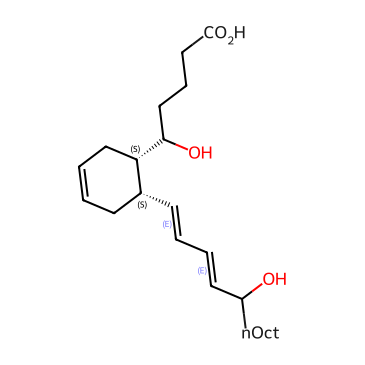 CCCCCCCCC(O)/C=C/C=C/[C@@H]1CC=CC[C@@H]1C(O)CCCC(=O)O